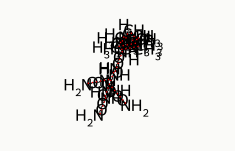 CC(C)CC(=O)N[C@H](C(=O)N[C@H](C(=O)N[C@@H](CC(C)C)[C@@H](O)CC(=O)N[C@@H](C)C(=O)N[C@@H](CC(C)C)[C@@H](O)CC(=O)NCCOCCOCCNC(=O)CNCCN(CCN(CCNCC(=O)NCCOCCOCCN)CC(=O)NCCOCCOCCN)CC(=O)NCCOCCOCCN)C(C)C)C(C)C